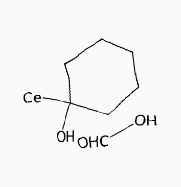 O=CO.O[C]1([Ce])CCCCC1